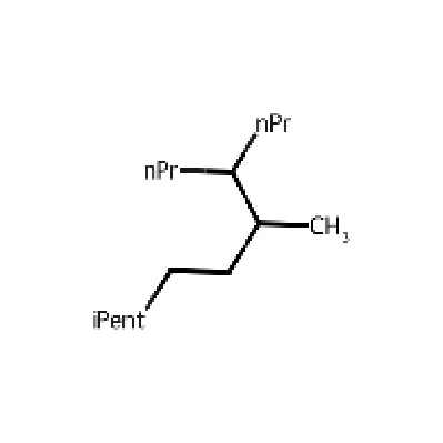 CCCC(C)CCC(C)C(CCC)CCC